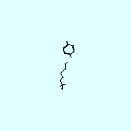 CC(=O)c1ccc(OCCCCCC2(C(=O)O)CO2)cc1